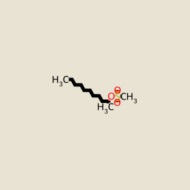 CCCCCCCCCC(C)OS(C)(=O)=O